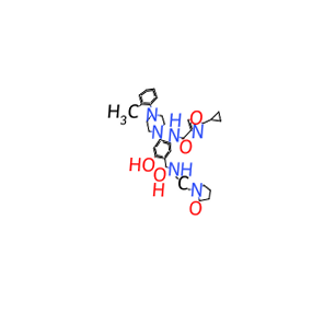 Cc1ccccc1N1CCN(c2cc(O)c(C(O)NCCCN3CCCC3=O)cc2NC(=O)c2coc(C3CC3)n2)CC1